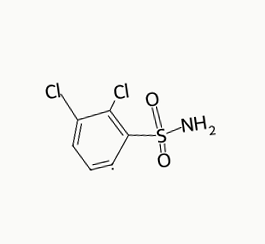 NS(=O)(=O)c1[c]ccc(Cl)c1Cl